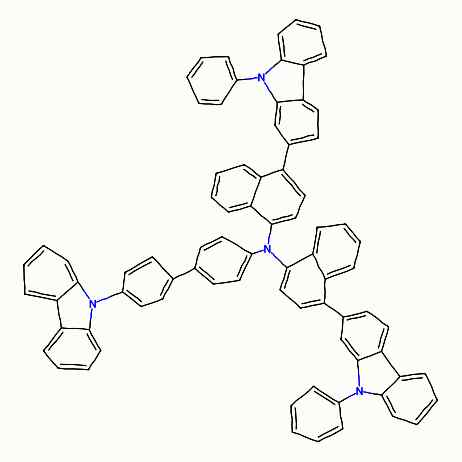 c1ccc(-n2c3ccccc3c3ccc(-c4ccc(N(c5ccc(-c6ccc(-n7c8ccccc8c8ccccc87)cc6)cc5)c5ccc(-c6ccc7c8ccccc8n(-c8ccccc8)c7c6)c6ccccc56)c5ccccc45)cc32)cc1